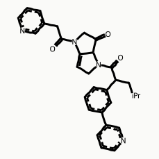 CC(C)CC(C(=O)N1CC=C2C1C(=O)CN2C(=O)Cc1cccnc1)c1cccc(-c2cccnc2)c1